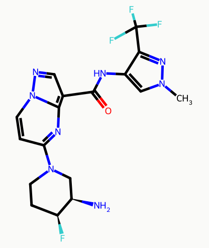 Cn1cc(NC(=O)c2cnn3ccc(N4CC[C@H](F)[C@H](N)C4)nc23)c(C(F)(F)F)n1